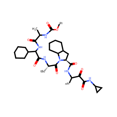 CCCC(NC(=O)[C@@H]1CC2CCCCC2N1C(=O)[C@@H](NC(=O)C(NC(=O)C(C)NC(=O)OC(C)C)C1CCCCC1)C(C)(C)C)C(=O)C(=O)NC1CC1